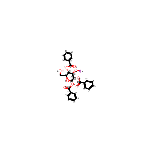 O=C(O[C@@H]1C(CO)O[C@@H](OC(=O)c2ccccc2)[C@@H](OC(=O)c2ccccc2)C1OI)c1ccccc1